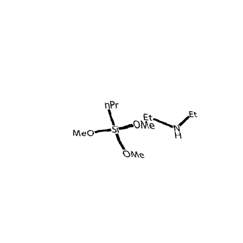 CCC[Si](OC)(OC)OC.CCNCC